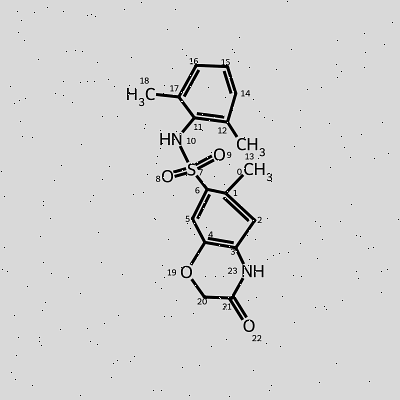 Cc1cc2c(cc1S(=O)(=O)Nc1c(C)cccc1C)OCC(=O)N2